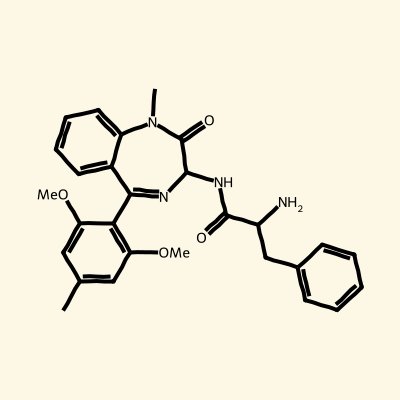 COc1cc(C)cc(OC)c1C1=NC(NC(=O)C(N)Cc2ccccc2)C(=O)N(C)c2ccccc21